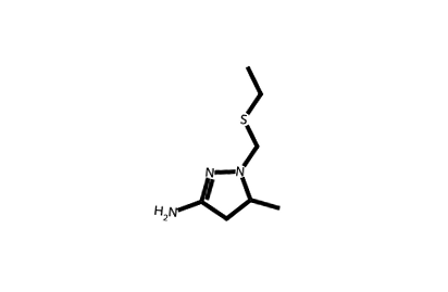 CCSCN1N=C(N)CC1C